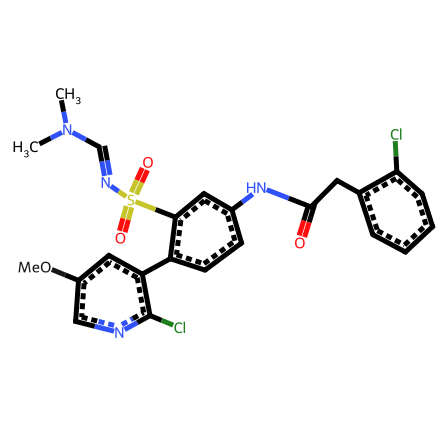 COc1cnc(Cl)c(-c2ccc(NC(=O)Cc3ccccc3Cl)cc2S(=O)(=O)N=CN(C)C)c1